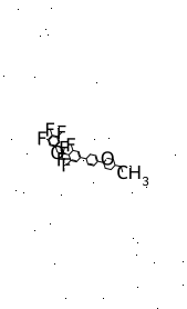 CCC1CCC(C2=CCC(C3=CC(F)C(C(F)(F)Oc4cc(F)c(F)c(F)c4)C(F)=C3)C=C2)OC1